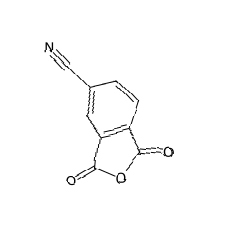 N#Cc1ccc2c(c1)C(=O)OC2=O